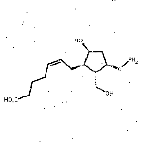 O=C(O)CCC/C=C\C[C@@H]1[C@@H](CO)[C@H](OP)C[C@@H]1O